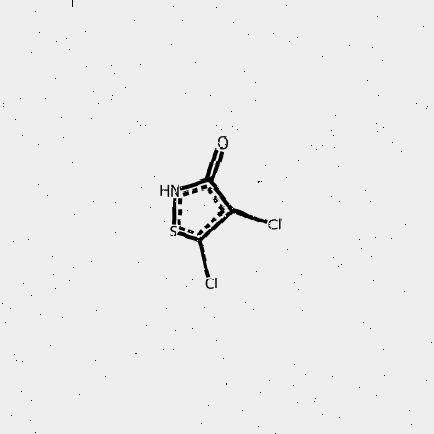 O=c1[nH]sc(Cl)c1Cl